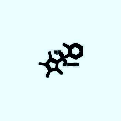 CC1=C(C)C(C)[C]([Zr](=[SiH2])([NH]C(C)(C)C)[c]2ccccc2C)=C1C